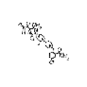 CC[C@H]1CN(c2nc(N)c(C(=O)NC3CC3)nc2Cl)CCN1C1CCN(Cc2ccc(Cl)cc2C(N)=O)CC1